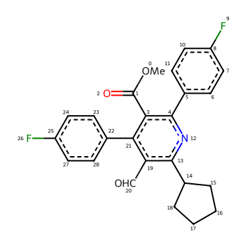 COC(=O)c1c(-c2ccc(F)cc2)nc(C2CCCC2)c(C=O)c1-c1ccc(F)cc1